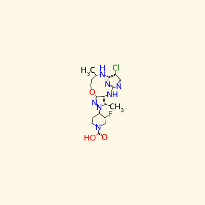 Cc1c2c(nn1C1CCN(C(=O)O)CC1F)OCCC(C)Nc1nc(ncc1Cl)N2